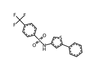 O=S(=O)(Nc1csc(-c2ccccc2)c1)c1ccc(C(F)(F)F)cc1